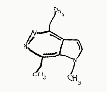 Cc1nnc(C)c2c1ccn2C